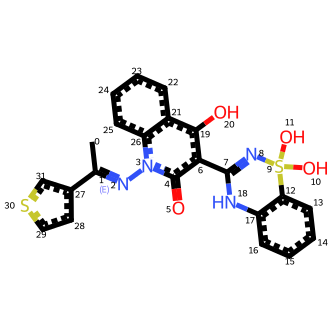 C/C(=N\n1c(=O)c(C2=NS(O)(O)c3ccccc3N2)c(O)c2ccccc21)c1ccsc1